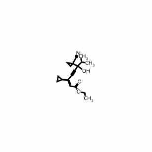 CCOC(=O)/C=C(\C#CC(O)(C(C)C)C1(C#N)CC1)C1CC1